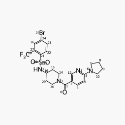 O=C(c1ccc(N2CCCC2)nc1)N1CCC(NS(=O)(=O)c2ccc(Br)cc2C(F)(F)F)CC1